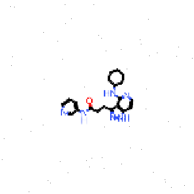 O=C(CCc1n[nH]c2ccnc(NC3CCCCC3)c12)Nc1cccnc1